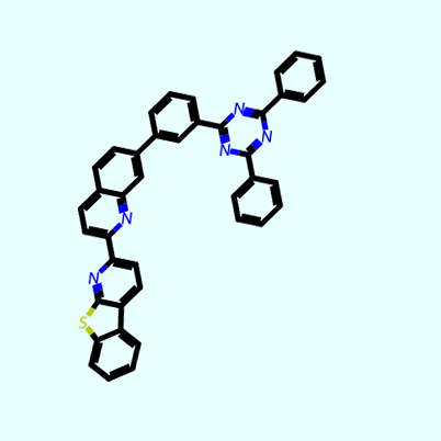 c1ccc(-c2nc(-c3ccccc3)nc(-c3cccc(-c4ccc5ccc(-c6ccc7c(n6)sc6ccccc67)nc5c4)c3)n2)cc1